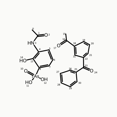 CC(=O)Nc1cccc([As](=O)(O)O)c1O.CC(=O)c1cccc(C(=O)c2ccccc2)c1